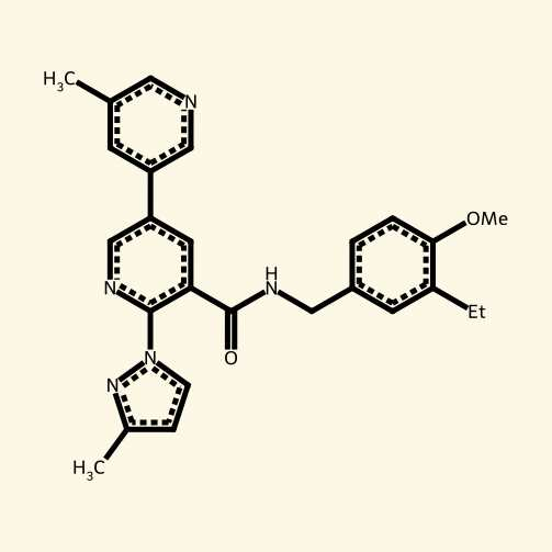 CCc1cc(CNC(=O)c2cc(-c3cncc(C)c3)cnc2-n2ccc(C)n2)ccc1OC